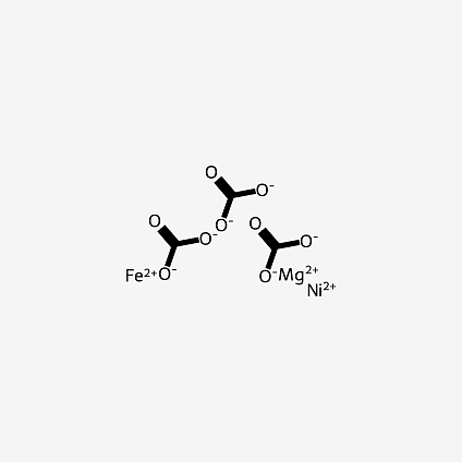 O=C([O-])[O-].O=C([O-])[O-].O=C([O-])[O-].[Fe+2].[Mg+2].[Ni+2]